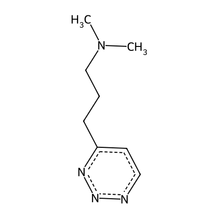 CN(C)CCCc1ccnnn1